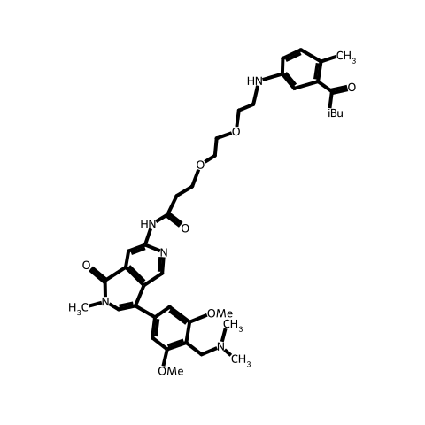 CCC(C)C(=O)c1cc(NCCOCCOCCC(=O)Nc2cc3c(=O)n(C)cc(-c4cc(OC)c(CN(C)C)c(OC)c4)c3cn2)ccc1C